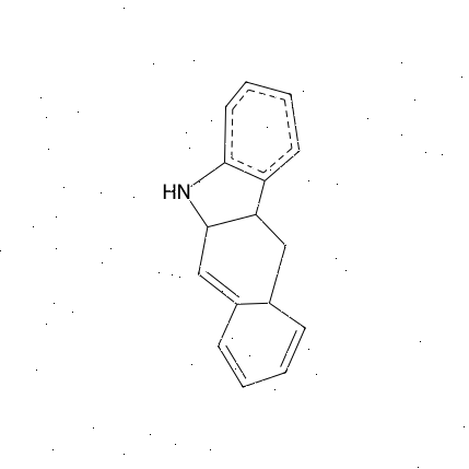 C1=CC2=CC3Nc4ccccc4C3CC2C=C1